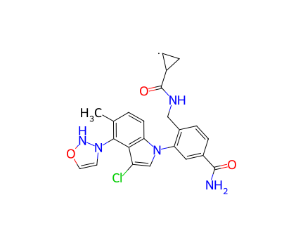 Cc1ccc2c(c(Cl)cn2-c2cc(C(N)=O)ccc2CNC(=O)C2[CH]C2)c1N1C=CON1